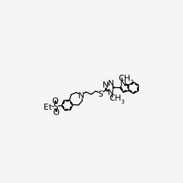 CCS(=O)(=O)c1ccc2c(c1)CCN(CCCSc1nnc(-c3cc4ccccc4n3C)n1C)CC2